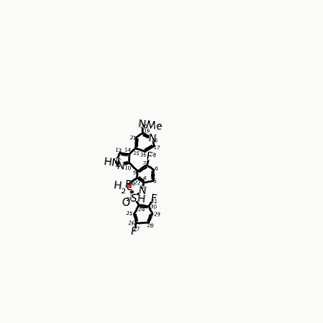 C=S(=O)(Nc1ccc(F)c(-c2n[nH]cc2-c2ccnc(NC)c2)c1F)c1cc(F)ccc1F